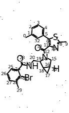 Cc1cccc(-c2sc(C)nc2C(=O)N2C[C@H]3CC3[C@H]2CNC(=O)c2cccc(C)c2Br)c1